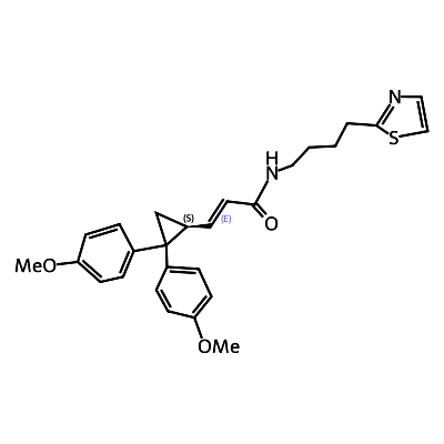 COc1ccc(C2(c3ccc(OC)cc3)C[C@H]2/C=C/C(=O)NCCCCc2nccs2)cc1